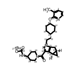 Cc1cccnc1O[C@H]1CC[C@@H](CCn2nc(C(=O)N3CCC(NC(=O)OC(C)(C)C)CC3)c3c2C[C@H]2C[C@@H]32)CC1